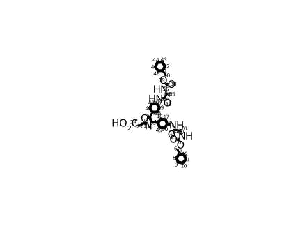 C[C@H](NC(=O)OCc1ccccc1)C(=O)Nc1ccc(-c2nc(CC(=O)O)oc2-c2ccc(NC(=O)[C@H](C)NC(=O)OCc3ccccc3)cc2)cc1